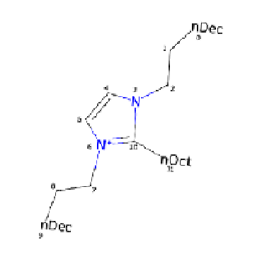 CCCCCCCCCCCCn1cc[n+](CCCCCCCCCCCC)c1CCCCCCCC